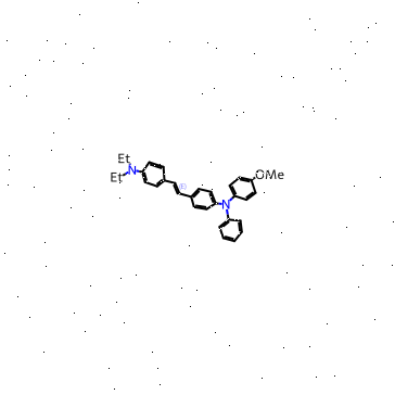 CCN(CC)c1ccc(/C=C/c2ccc(N(c3ccccc3)c3ccc(OC)cc3)cc2)cc1